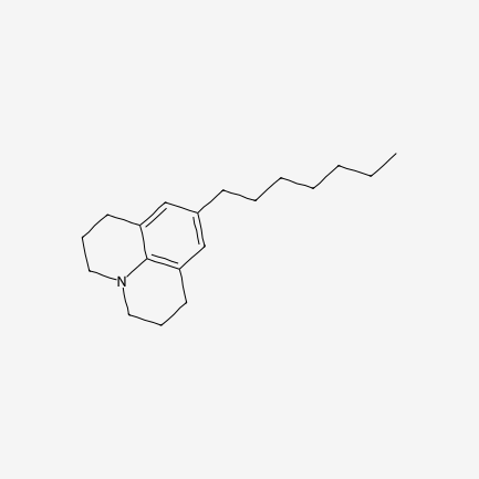 CCCCCCCc1cc2c3c(c1)CCCN3CCC2